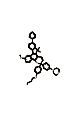 CCCCOc1ccc(C2(c3ccc(N4CCOCC4)cc3)C=Cc3c4c(c5cc(OC)ccc5c3O2)-c2ccc(-c3ccccc3)cc2C4(C)C)cc1